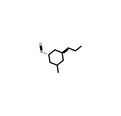 CC/C=C1\CC(C)C[C@H](N=O)C1